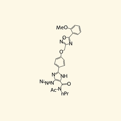 CCCN(C(C)=O)C(=O)c1[nH]c(-c2ccc(OCc3noc(-c4ccccc4OC)n3)cc2)nc1N=[N+]=[N-]